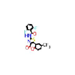 O=C(Nc1nc2c(=O)oc3ccc(C(F)(F)F)cc3c2s1)c1c(F)cccc1F